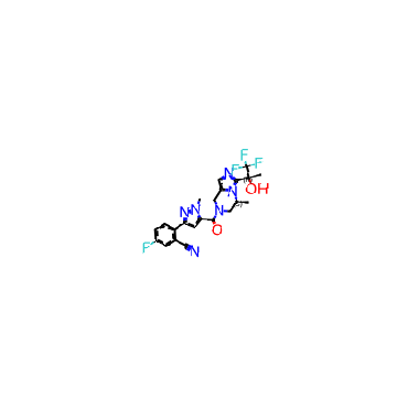 C[C@H]1CN(C(=O)c2cc(-c3ccc(F)cc3C#N)nn2C)Cc2cnc([C@@](C)(O)C(F)(F)F)n21